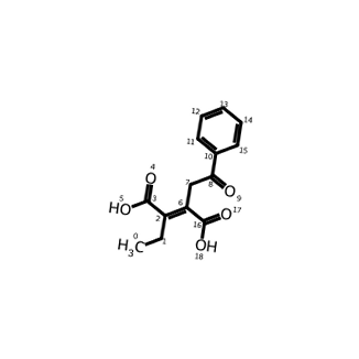 CCC(C(=O)O)=C(CC(=O)c1ccccc1)C(=O)O